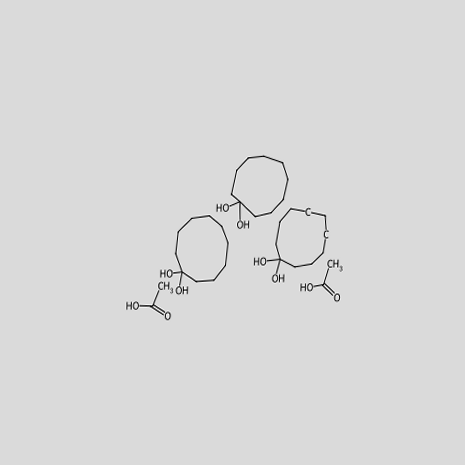 CC(=O)O.CC(=O)O.OC1(O)CCCCCCCCC1.OC1(O)CCCCCCCCC1.OC1(O)CCCCCCCCC1